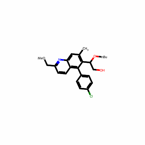 CCCCOC(CO)c1c(C)cc2nc(COC)ccc2c1-c1ccc(Cl)cc1